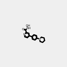 O=C(NO)c1cc(-c2ccc(N3CCCCC3)cc2)ccn1